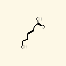 O=C(O)C/C=C/CCO